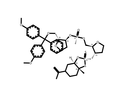 C=C(C)C1CC[C@@]2(C)S[P@@](=S)(C[C@H]3CCO[C@@H]3CO[P@](C)(=O)O[C@H]3CCO[C@@H]3COC(c3ccccc3)(c3ccc(OC)cc3)c3ccc(OC)cc3)O[C@@H]2C1